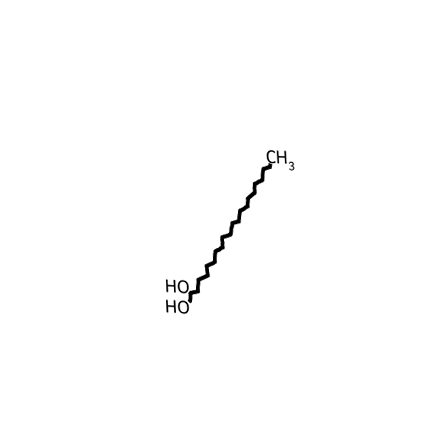 CCCCCCCCCCCCCCCCCCCCC(O)CO